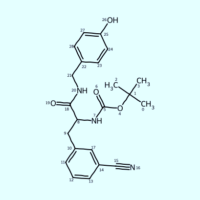 CC(C)(C)OC(=O)NC(Cc1cccc(C#N)c1)C(=O)NCc1ccc(O)cc1